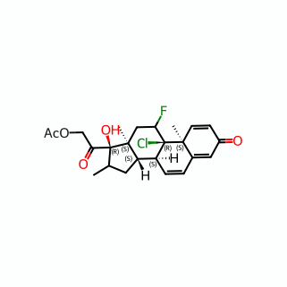 CC(=O)OCC(=O)[C@@]1(O)C(C)C[C@H]2[C@@H]3C=CC4=CC(=O)C=C[C@]4(C)[C@@]3(Cl)C(F)C[C@@]21C